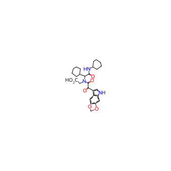 O=C(O)CN(C(=O)C(=O)c1c[nH]c2cc3c(cc12)OCO3)C(C(=O)NC1CCCCC1)C1CCCCC1